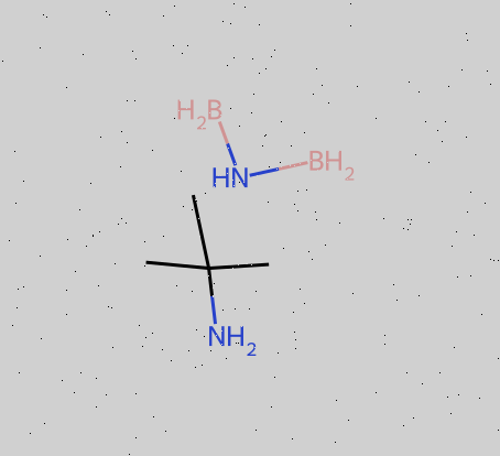 BNB.CC(C)(C)N